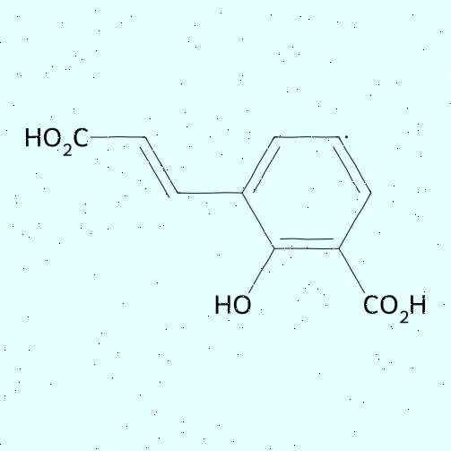 O=C(O)C=Cc1c[c]cc(C(=O)O)c1O